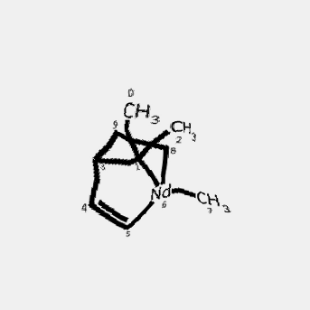 C[C]1(C)C2C=[CH][Nd]1([CH3])[CH2]C2